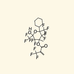 C=C(C(=O)OC1(C)C(F)(F)C(O)(C(F)(F)F)OC(C2CCCCC2)(C(F)(F)F)C1(F)F)C(F)(F)F